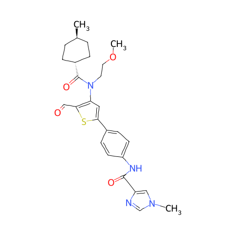 COCCN(c1cc(-c2ccc(NC(=O)c3cn(C)cn3)cc2)sc1C=O)C(=O)[C@H]1CC[C@H](C)CC1